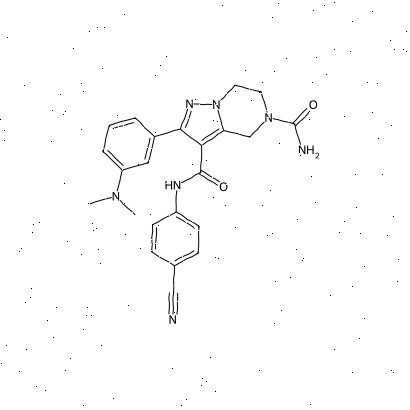 CN(C)c1cccc(-c2nn3c(c2C(=O)Nc2ccc(C#N)cc2)CN(C(N)=O)CC3)c1